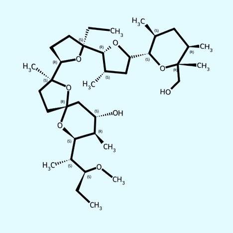 CC[C@H](OC)[C@H](C)[C@H]1O[C@@]2(CC[C@@](C)([C@H]3CC[C@@](CC)([C@@H]4OC([C@H]5O[C@@](C)(CO)[C@H](C)C[C@@H]5C)C[C@@H]4C)O3)O2)C[C@H](O)[C@H]1C